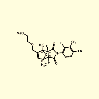 COCCOCC1=C[C@@]2(C)O[C@]1(C)[C@@H]1C(=O)N(c3ccc(C#N)c(C(F)(F)F)c3F)C(=O)[C@@H]12